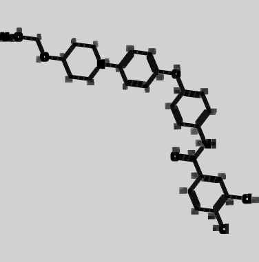 COCOC1CCN(c2ccc(Oc3ccc(NC(=O)c4ccc(Cl)c(Cl)c4)cc3)cc2)CC1